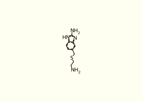 NCCSCc1ccc2[nH]c(N)nc2c1